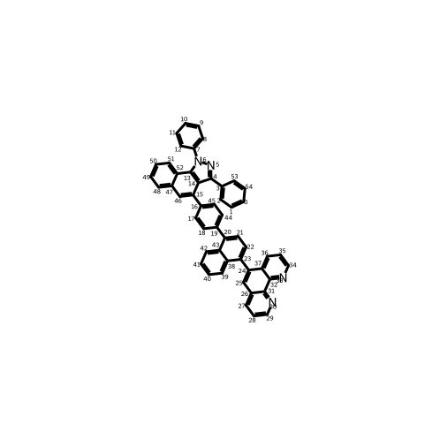 c1ccc(-c2nn(-c3ccccc3)c3c2c(-c2ccc(-c4ccc(-c5cc6cccnc6c6ncccc56)c5ccccc45)cc2)cc2ccccc23)cc1